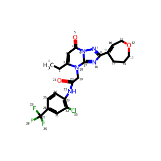 CCc1cc(=O)n2nc(C3=CCOCCC3)nc2n1CC(=O)Nc1ccc(C(F)(F)F)cc1Cl